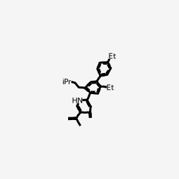 C=C(C)C1=CNC(c2cc(CC)c(-c3ccc(CC)cc3)cc2CCC(C)C)=CC1=C